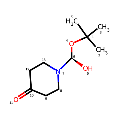 CC(C)(C)O[C@@H](O)N1CCC(=O)CC1